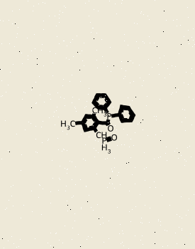 Cc1cc(C)c(C(=O)P(c2ccccc2)c2ccccc2)c(C)c1.O=[PH3]